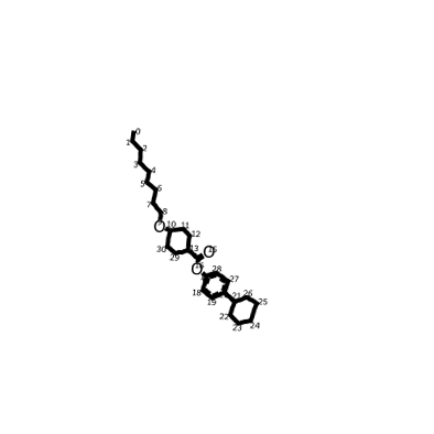 CCCCCCCCCOC1CCC(C(=O)Oc2ccc(C3CCCCC3)cc2)CC1